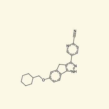 N#Cc1ccc(-c2n[nH]c3c2Cc2cc(OCC4CCCCC4)ccc2-3)cn1